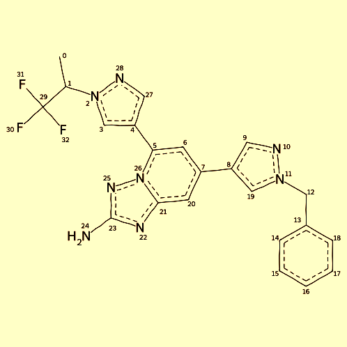 CC(n1cc(-c2cc(-c3cnn(Cc4ccccc4)c3)cc3nc(N)nn23)cn1)C(F)(F)F